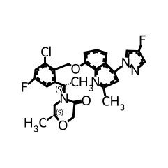 Cc1cc(-n2cc(F)cn2)c2cccc(OCc3c(Cl)cc(F)cc3[C@H](C)N3C[C@H](C)OCC3=O)c2n1